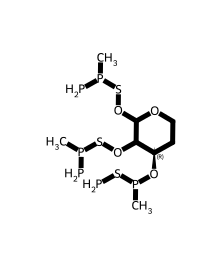 CP(P)SOC1OCC[C@@H](OP(C)SP)C1OSP(C)P